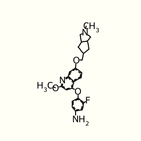 COc1cc(Oc2ccc(N)cc2F)c2ccc(OCC3CC4CN(C)CC4C3)cc2n1